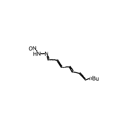 CCCCC=CC=CC=CC=NNN=O